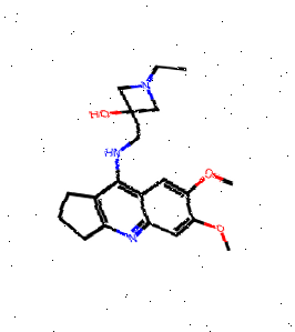 CCN1CC(O)(CNc2c3c(nc4cc(OC)c(OC)cc24)CCC3)C1